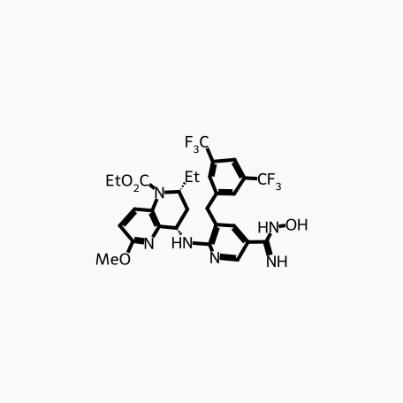 CCOC(=O)N1c2ccc(OC)nc2[C@@H](Nc2ncc(C(=N)NO)cc2Cc2cc(C(F)(F)F)cc(C(F)(F)F)c2)C[C@H]1CC